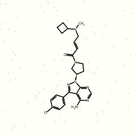 CN(C/C=C/C(=O)N1CC[C@@H](n2nc(-c3ccc(Cl)cc3)c3c(N)ncnc32)C1)C1CCC1